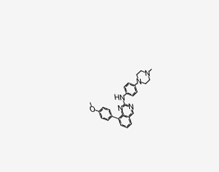 COc1ccc(-c2cccc3cnc(Nc4ccc(N5CCN(C)CC5)cc4)nc23)cc1